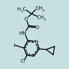 CC(C)(C)OC(=O)Nc1nc(C2CC2)cc(Cl)c1I